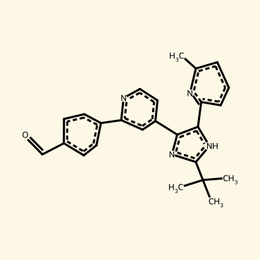 Cc1cccc(-c2[nH]c(C(C)(C)C)nc2-c2ccnc(-c3ccc(C=O)cc3)c2)n1